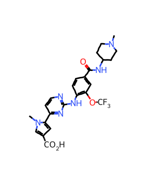 CN1CCC(NC(=O)c2ccc(Nc3nccc(-c4cc(C(=O)O)cn4C)n3)c(OC(F)(F)F)c2)CC1